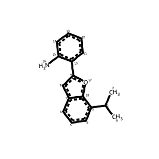 CC(C)c1cccc2cc(-c3ccccc3N)oc12